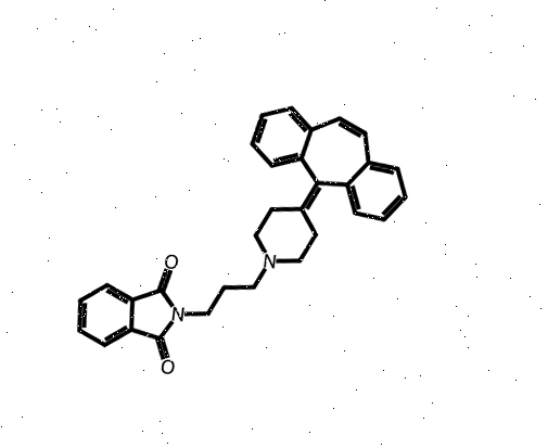 O=C1c2ccccc2C(=O)N1CCCN1CCC(=C2c3ccccc3C=Cc3ccccc32)CC1